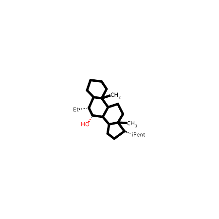 CCC[C@@H](C)C1CCC2C3C(CCC21C)C1(C)CCCCC1[C@@H](CC)[C@H]3O